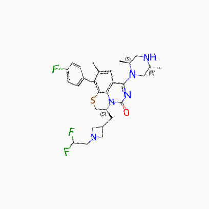 Cc1cc2c(N3C[C@@H](C)NC[C@@H]3C)nc(=O)n3c2c(c1-c1ccc(F)cc1)SC[C@@H]3CC1CN(CC(F)F)C1